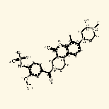 CCS(=O)(=O)Nc1ccc(C(=O)N2CCc3c(c(=O)oc4c(C)c(N5CCN(C)[C@@H](C)C5)ccc34)C2)cc1OC(F)(F)F